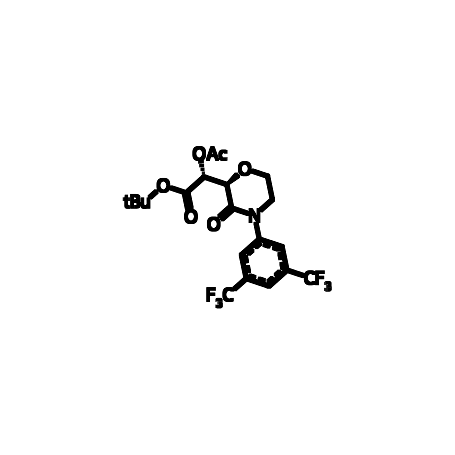 CC(=O)O[C@@H](C(=O)OC(C)(C)C)[C@H]1OCCN(c2cc(C(F)(F)F)cc(C(F)(F)F)c2)C1=O